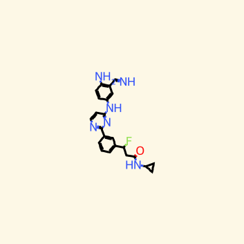 N=Cc1cc(Nc2ccnc(-c3cccc(C(F)CC(=O)NC4CC4)c3)n2)ccc1N